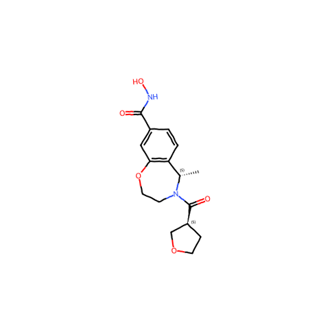 C[C@H]1c2ccc(C(=O)NO)cc2OCCN1C(=O)[C@H]1CCOC1